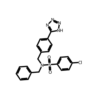 O=S(=O)(c1ccc(Cl)cc1)N(Cc1ccccc1)Cc1ccc(-c2nnn[nH]2)cc1